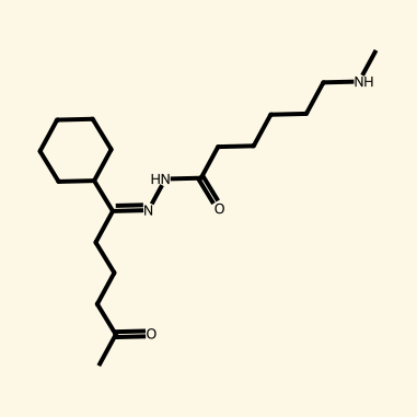 CNCCCCCC(=O)N/N=C(/CCCC(C)=O)C1CCCCC1